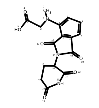 CN(CC(=O)O)c1cccc2c1C(=O)N(C1CCC(=O)NC1=O)C2=O